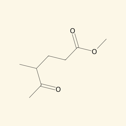 COC(=O)CCC(C)C(C)=O